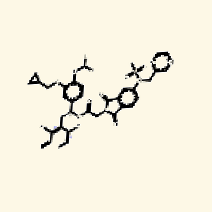 C=C/C(Cl)=C(C[C@H](OC(=O)CN1C(=O)c2ccc(N(Cc3cnccn3)S(C)(=O)=O)cc2C1=O)c1ccc(OC(F)F)c(OCC2CC2)c1)\C(Cl)=C/C